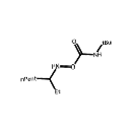 CCCCCC(CC)NOC(=O)NC(C)(C)C